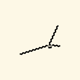 CCCCCCCCCCCCCCCCCN1C=CN(CCCCC)C1CCCCCCCCCCCC